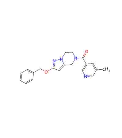 Cc1cncc(C(=O)N2CCn3nc(OCc4ccccc4)cc3C2)c1